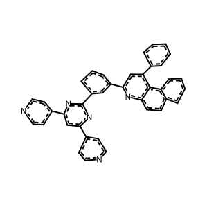 c1ccc(-c2cc(-c3cccc(-c4nc(-c5ccncc5)cc(-c5ccncc5)n4)c3)nc3ccc4ccccc4c23)cc1